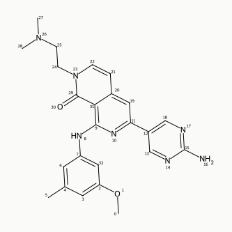 COc1cc(C)cc(Nc2nc(-c3cnc(N)nc3)cc3ccn(CCN(C)C)c(=O)c23)c1